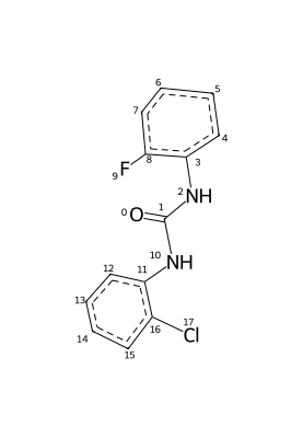 O=C(Nc1ccccc1F)Nc1ccccc1Cl